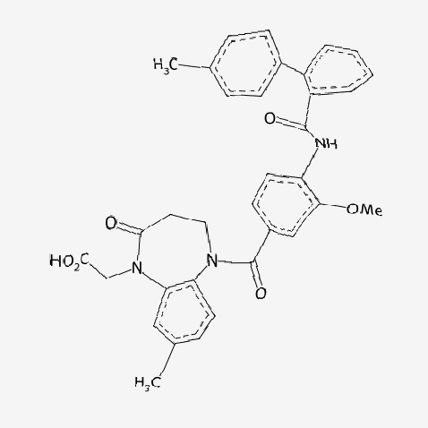 COc1cc(C(=O)N2CCC(=O)N(CC(=O)O)c3cc(C)ccc32)ccc1NC(=O)c1ccccc1-c1ccc(C)cc1